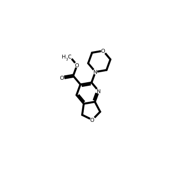 COC(=O)c1cc2c(nc1N1CCOCC1)COC2